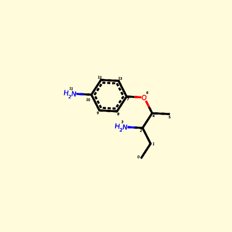 CCC(N)C(C)Oc1ccc(N)cc1